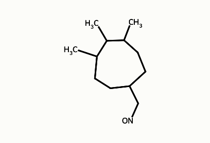 CC1CCC(CN=O)CCC(C)C1C